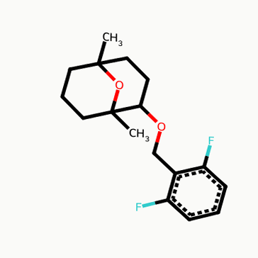 CC12CCCC(C)(O1)C(OCc1c(F)cccc1F)CC2